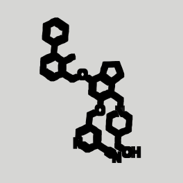 Cc1c(COc2cc(OCc3cncc(C#N)c3)c(CN3CCC(CO)CC3)c3c2CCC3)cccc1-c1ccccc1